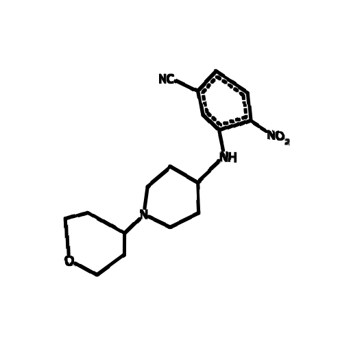 N#Cc1ccc([N+](=O)[O-])c(NC2CCN(C3CCOCC3)CC2)c1